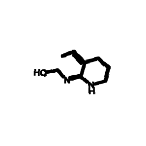 C/C=C1/CCCN/C1=N/CO